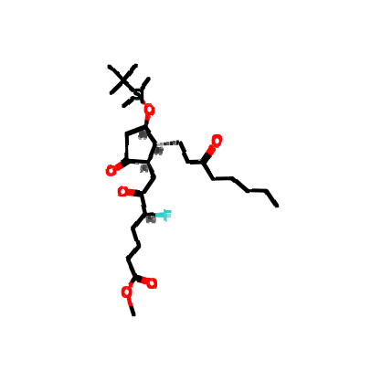 CCCCCC(=O)CC[C@H]1[C@H](O[Si](C)(C)C(C)(C)C)CC(=O)[C@@H]1CC(=O)[C@@H](F)CCCC(=O)OC